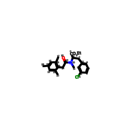 CCOC(=O)C(Cc1cccc(Cl)c1)N(C)C(=O)Cc1c(C)cc(C)cc1C